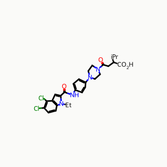 CCn1c(C(=O)Nc2ccc(N3CCN(C(=O)CC(C(=O)O)C(C)C)CC3)cc2)cc2c(Cl)c(Cl)ccc21